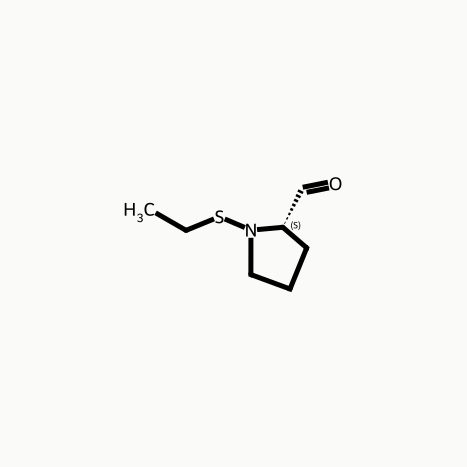 CCSN1CCC[C@H]1C=O